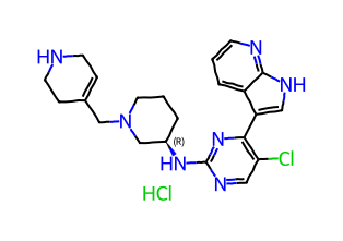 Cl.Clc1cnc(N[C@@H]2CCCN(CC3=CCNCC3)C2)nc1-c1c[nH]c2ncccc12